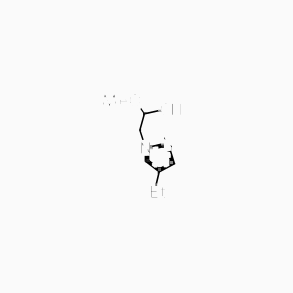 CCc1cnn(CC(C)OC)c1